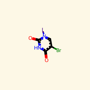 O=c1[nH]c(=O)n(I)cc1Br